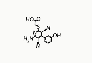 N#Cc1c(N)nc(SCC(=O)O)c(C#N)c1-c1cccc(O)c1